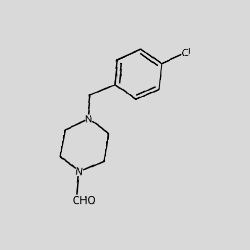 O=CN1CCN(Cc2ccc(Cl)cc2)CC1